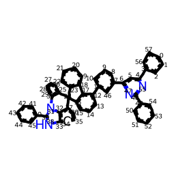 c1ccc(-c2cc(-c3cccc(-c4cccc5c4-c4ccccc4C54c5ccccc5N5c6c(cccc64)NC5c4ccccc4)c3)nc(-c3ccccc3)n2)cc1